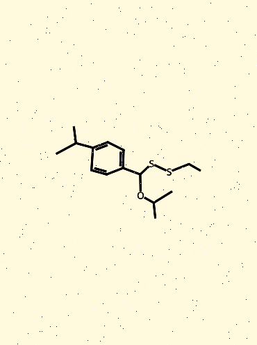 CCSSC(OC(C)C)c1ccc(C(C)C)cc1